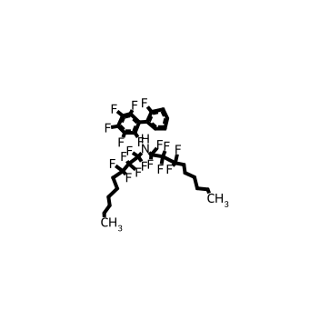 CCCCCCC(F)(F)C(F)(F)C(F)(F)NC(F)(F)C(F)(F)C(F)(F)CCCCCC.Fc1ccccc1-c1c(F)c(F)c(F)c(F)c1F